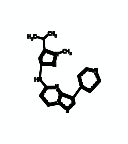 CC(C)c1cc(Nc2ccc3scc(-c4ccncc4)c3n2)nn1C